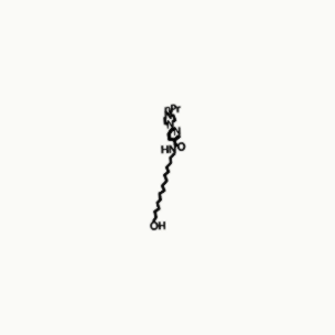 CCCN1CCN(c2ccc(C(=O)NCCCCCCCCCCCCCCCCO)cn2)CC1